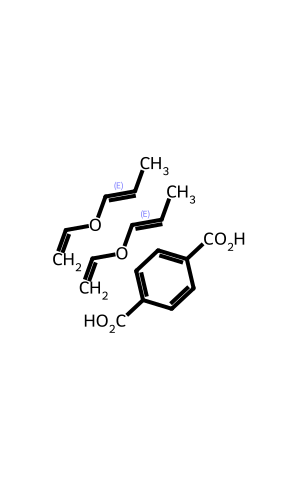 C=CO/C=C/C.C=CO/C=C/C.O=C(O)c1ccc(C(=O)O)cc1